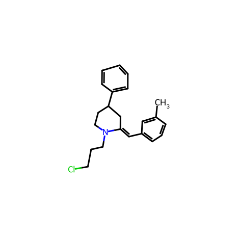 Cc1cccc(C=C2CC(c3ccccc3)CCN2CCCCl)c1